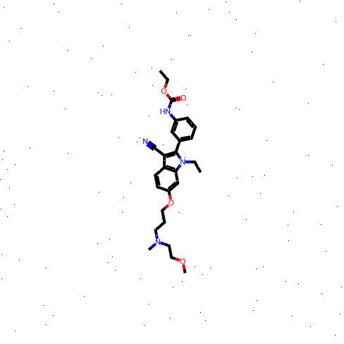 CCOC(=O)Nc1cccc(-c2c(C#N)c3ccc(OCCCN(C)CCOC)cc3n2CC)c1